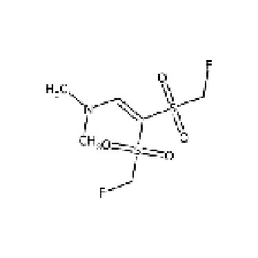 CN(C)C=C(S(=O)(=O)CF)S(=O)(=O)CF